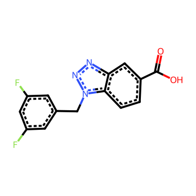 O=C(O)c1ccc2c(c1)nnn2Cc1cc(F)cc(F)c1